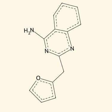 Nc1nc(Cc2ccco2)nc2ccccc12